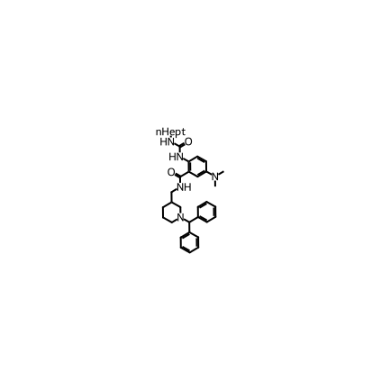 CCCCCCCNC(=O)Nc1ccc(N(C)C)cc1C(=O)NCC1CCCN(C(c2ccccc2)c2ccccc2)C1